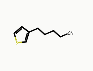 N#CCCCCc1ccsc1